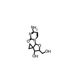 Nc1ccn(C2OC(CO)C(O)C23CC3)c(=O)n1